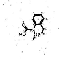 CON(C(=O)O)c1ccccc1CBr